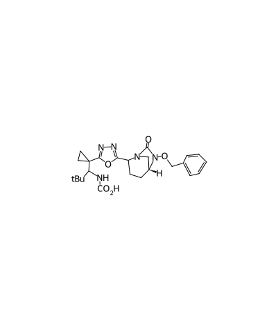 CC(C)(C)C(NC(=O)O)C1(c2nnc(C3CC[C@@H]4CN3C(=O)N4OCc3ccccc3)o2)CC1